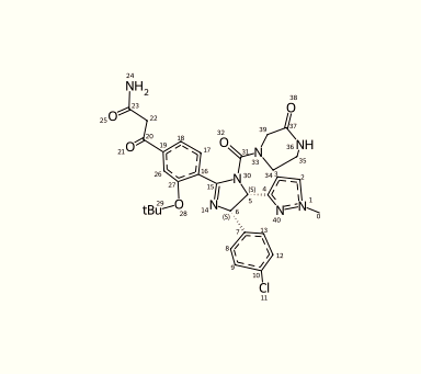 Cn1ccc([C@@H]2[C@H](c3ccc(Cl)cc3)N=C(c3ccc(C(=O)CC(N)=O)cc3OC(C)(C)C)N2C(=O)N2CCNC(=O)C2)n1